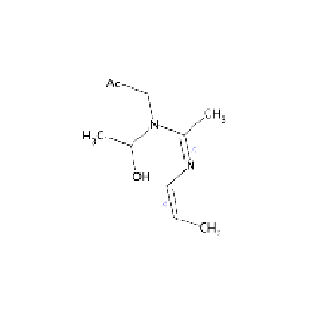 C/C=C\N=C(\C)N(CC(C)=O)C(C)O